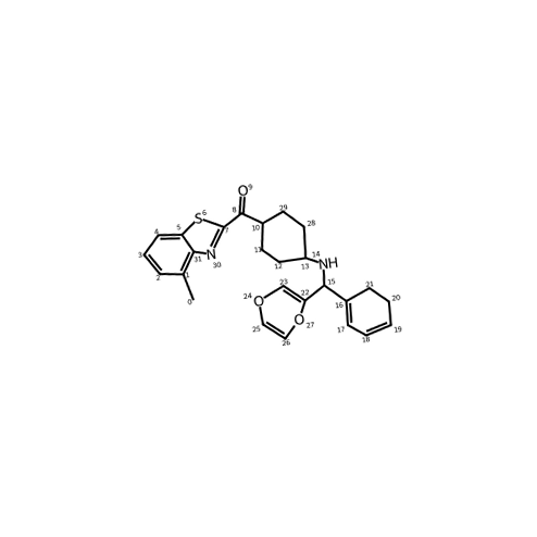 Cc1cccc2sc(C(=O)C3CCC(NC(C4=CC=CCC4)C4=COC=CO4)CC3)nc12